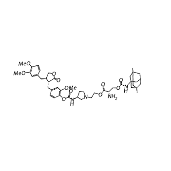 COc1ccc(C[C@H]2COC(=O)[C@@H]2Cc2ccc(OC(=O)N[C@H]3CCN(CCOC(=O)[C@@H](N)COC(=O)NC45CC6CC(C)(CC(C)(C6)C4)C5)C3)c(OC)c2)cc1OC